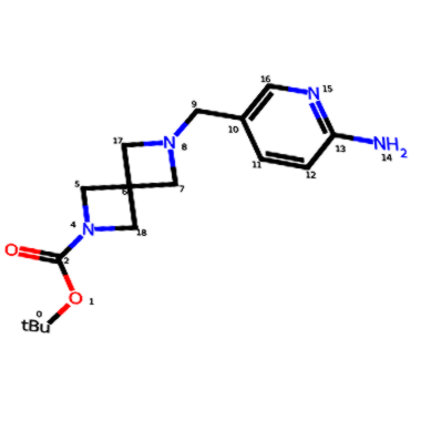 CC(C)(C)OC(=O)N1CC2(CN(Cc3ccc(N)nc3)C2)C1